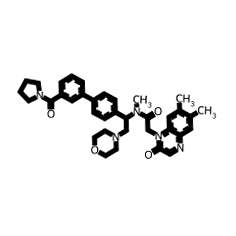 Cc1cc2ncc(=O)n(CC(=O)N(C)C(CN3CCOCC3)c3ccc(-c4cccc(C(=O)N5CCCC5)c4)cc3)c2cc1C